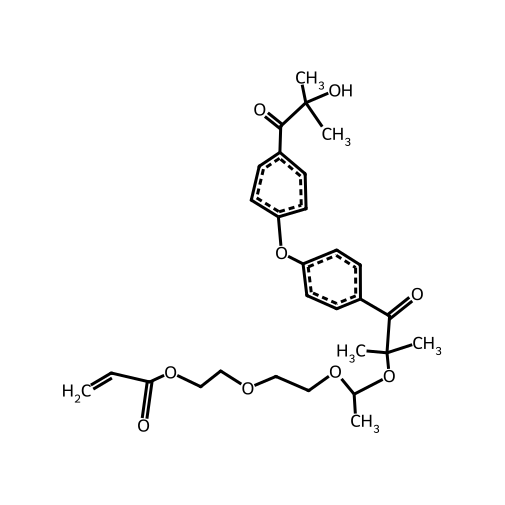 C=CC(=O)OCCOCCOC(C)OC(C)(C)C(=O)c1ccc(Oc2ccc(C(=O)C(C)(C)O)cc2)cc1